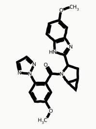 COc1ccc(-n2nccn2)c(C(=O)N2C(c3nc4cc(OC)ccc4[nH]3)CC3CC32)c1